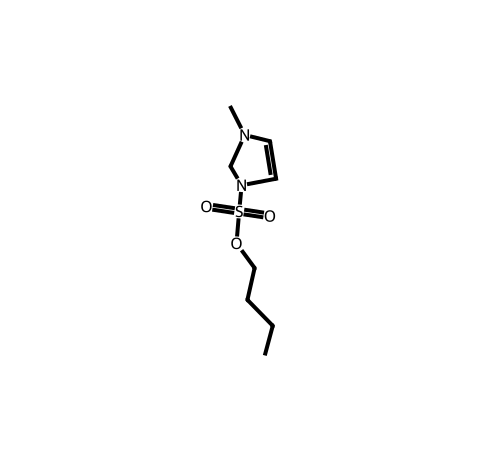 CCCCOS(=O)(=O)N1C=CN(C)C1